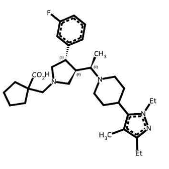 CCc1nn(CC)c(C2CCN([C@H](C)[C@H]3CN(CC4(C(=O)O)CCCC4)C[C@@H]3c3cccc(F)c3)CC2)c1C